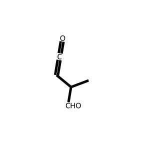 C[C](C=O)C=C=O